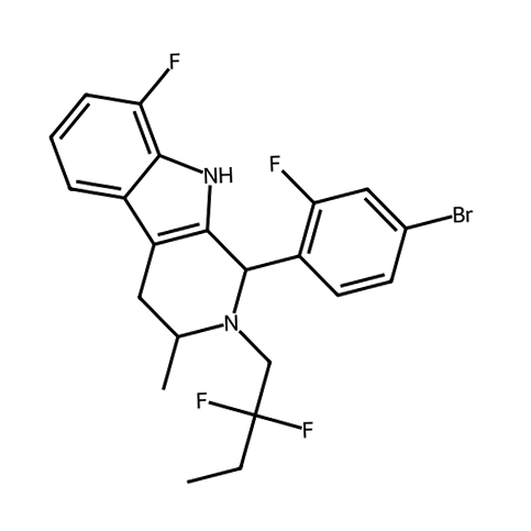 CCC(F)(F)CN1C(C)Cc2c([nH]c3c(F)cccc23)C1c1ccc(Br)cc1F